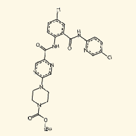 CC(C)(C)OC(=O)N1CCN(c2cnc(C(=O)Nc3ccc(Cl)cc3C(=O)Nc3ccc(Cl)cn3)cn2)CC1